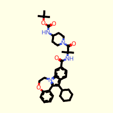 CC(C)(C)OC(=O)NC1CCN(C(=O)C(C)(C)NC(=O)c2ccc3c(C4CCCCC4)c4n(c3c2)CCOc2ccccc2-4)CC1